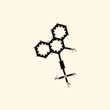 CC(C)[Si](C#Cc1c(N)c2ccccc2c2ccccc12)(C(C)C)C(C)C